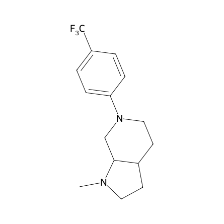 CN1CCC2CCN(c3ccc(C(F)(F)F)cc3)CC21